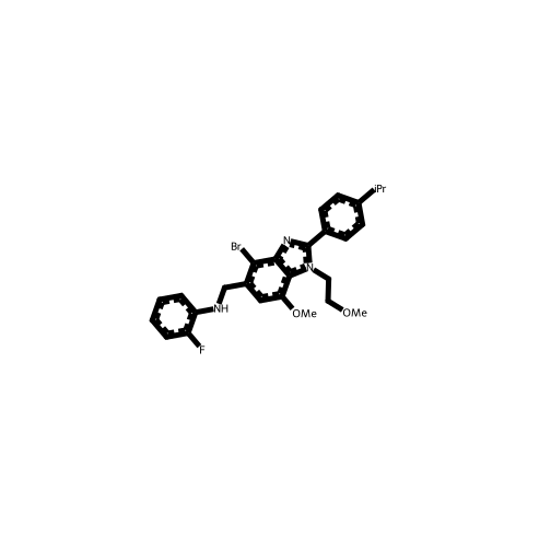 COCCn1c(-c2ccc(C(C)C)cc2)nc2c(Br)c(CNc3ccccc3F)cc(OC)c21